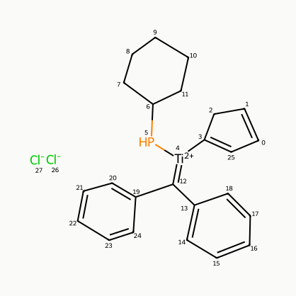 C1=CC[C]([Ti+2]([PH]C2CCCCC2)=[C](c2ccccc2)c2ccccc2)=C1.[Cl-].[Cl-]